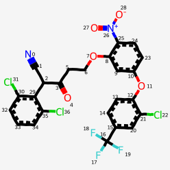 N#CC(C(=O)CCOc1cc(Oc2ccc(C(F)(F)F)cc2Cl)ccc1[N+](=O)[O-])c1c(Cl)cccc1Cl